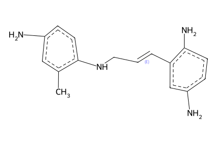 Cc1cc(N)ccc1NC/C=C/c1cc(N)ccc1N